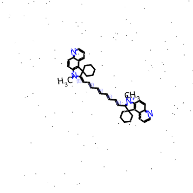 CN1/C(=C/C=C/C=C/C=C/C=C/C2=[N+](C)c3ccc4ncccc4c3C23CCCCC3)C2(CCCCC2)c2c1ccc1ncccc21